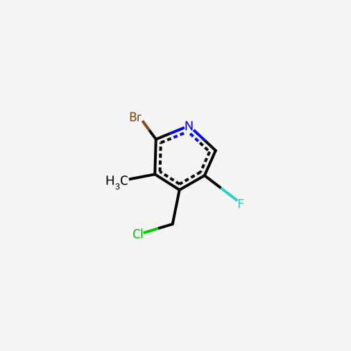 Cc1c(Br)ncc(F)c1CCl